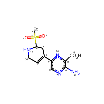 CCS(=O)(=O)C1CC(c2cnc(N)c(C(=O)O)n2)=CCN1